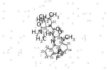 C=CCC(CC=C)(C(N)=O)[C@@H](CC(C)C)C(=O)NC1N=C(c2ccccc2C(F)(F)F)c2ccccc2N(C)C1=O